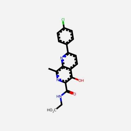 Cc1nc(C(=O)NCC(=O)O)c(O)c2ccc(-c3ccc(Cl)cc3)nc12